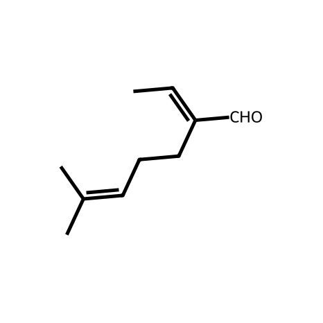 CC=C(C=O)CCC=C(C)C